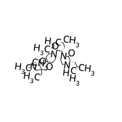 CCC1(CN(C)C)COC2(CCN(C(=O)[C@H](CC(C)C)N3CCN[C@@H](CC(C)C)C3=O)[C@@H](C)C2)OC1